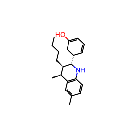 CCCC[C@@H]1[C@H](C)c2cc(C)ccc2N[C@H]1C1C=CC=C(O)C1